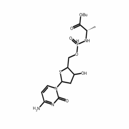 CC(C)COC(=O)[C@H](C)N[PH](=O)OCC1SC(n2ccc(N)nc2=O)CC1O